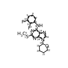 CSc1nc(Nc2cccc(F)c2F)c2ncn(C3CCCCO3)c2n1